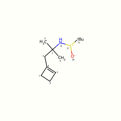 CC(C)(CC1=CCC1)N[S+]([O-])C(C)(C)C